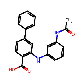 CC(=O)Nc1cccc(Nc2cc(-c3ccccc3)ccc2C(=O)O)c1